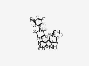 CN1CCc2[nH]c3ncnc(C4=CCN(c5cccc(F)c5)CC4)c3c2C1